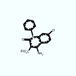 CCOC(=O)c1c(N)c2ccc(Cl)cc2n(-c2ccccc2)c1=O